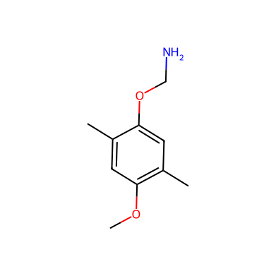 COc1cc(C)c(OCN)cc1C